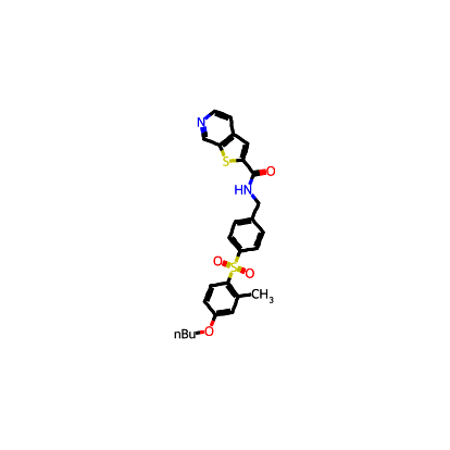 CCCCOc1ccc(S(=O)(=O)c2ccc(CNC(=O)c3cc4ccncc4s3)cc2)c(C)c1